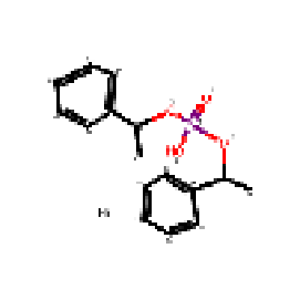 CC(OP(=O)(O)OC(C)c1ccccc1)c1ccccc1.[Ni]